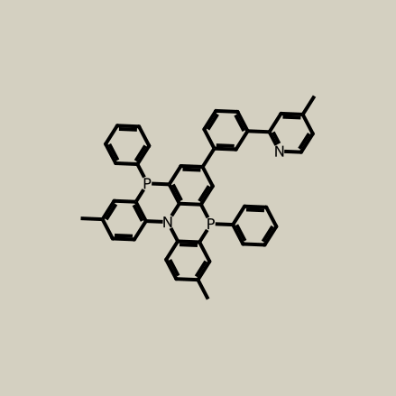 Cc1ccnc(-c2cccc(-c3cc4c5c(c3)P(c3ccccc3)c3cc(C)ccc3N5c3ccc(C)cc3P4c3ccccc3)c2)c1